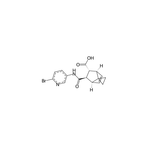 O=C(O)[C@H]1[C@H](C(=O)Nc2ccc(Br)nc2)[C@@H]2C=C[C@H]1C21CC1